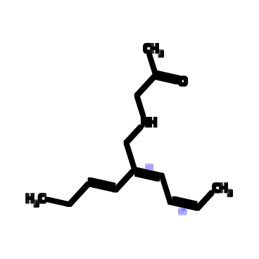 C/C=C\C=C(/C=CCC)CNCC(C)=O